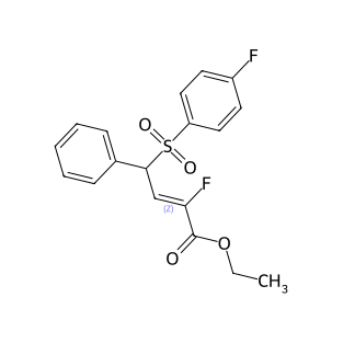 CCOC(=O)/C(F)=C/C(c1ccccc1)S(=O)(=O)c1ccc(F)cc1